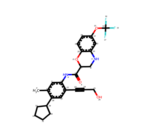 Cc1cc(NC(=O)C2CNc3cc(OC(F)(F)F)ccc3O2)c(C#CCO)cc1C1CCCC1